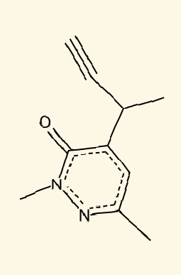 C#CC(C)c1cc(C)nn(C)c1=O